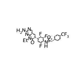 CCn1c(=O)c(-c2cc(F)c(N[S+]([O-])Cc3ccc(C(F)(F)F)cc3)c(F)c2F)cc2cnc(N)nc21